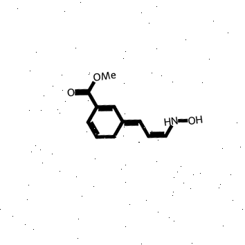 COC(=O)C1=C/C(=C/C=C\NO)CC=C1